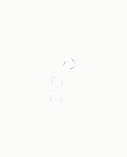 Cl.NCC(CCCc1c(Cl)cccc1Cl)C1CCCCC1